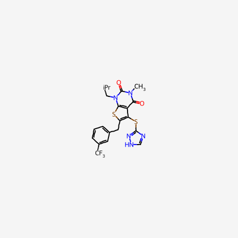 CC(C)Cn1c(=O)n(C)c(=O)c2c(Sc3nc[nH]n3)c(Cc3cccc(C(F)(F)F)c3)sc21